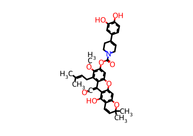 COc1c(OC(=O)N2CC=C(c3ccc(O)c(O)c3)CC2)cc2c(c1CC=C(C)C)C(=C=O)c1c(cc3c(c1O)C=CC(C)(C)O3)O2